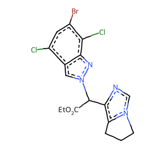 CCOC(=O)C(c1ncn2c1CCC2)n1cc2c(Cl)cc(Br)c(Cl)c2n1